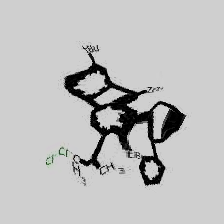 CC(C)=c1cc2c(c(C3=C(c4ccccc4)C=CC3)c1C(C)(C)C)=[C]([Zr+2])c1cc(C(C)(C)C)ccc1-2.[Cl-].[Cl-]